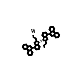 CCCC1=Cc2c(-c3cc4ccccc4c4ccccc34)cccc2[CH]1[Zr+2][CH]1C(CCC)=Cc2c(-c3cc4ccccc4c4ccccc34)cccc21.[Cl-].[Cl-]